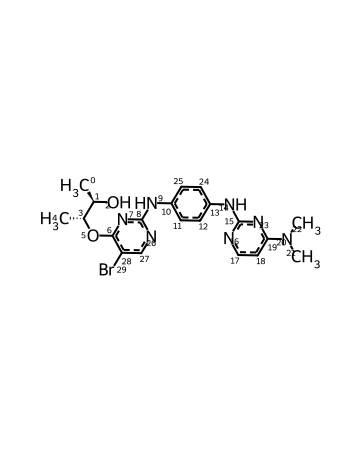 C[C@@H](O)[C@@H](C)Oc1nc(Nc2ccc(Nc3nccc(N(C)C)n3)cc2)ncc1Br